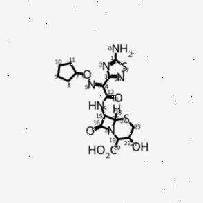 Nc1nc(C(=NOC2CCCC2)C(=O)NC2C(=O)N3C(C(=O)O)C(O)CS[C@@H]23)ns1